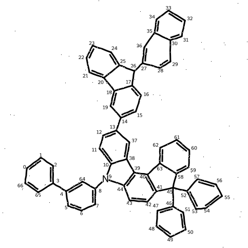 c1ccc(-c2cccc(-n3c4ccc(-c5ccc6c(c5)-c5ccccc5C6c5ccc6ccccc6c5)cc4c4c5c(ccc43)C(c3ccccc3)(c3ccccc3)c3ccccc3-5)c2)cc1